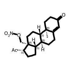 CC(=O)[C@H]1CC[C@H]2[C@@H]3CCC4=CC(=O)CC[C@]4(C)[C@H]3CC[C@]12CO[N+](=O)[O-]